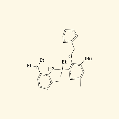 CCN(CC)c1cccc(C)c1PC(C)(CC)c1cc(C)cc(C(C)(C)C)c1OCc1ccccc1